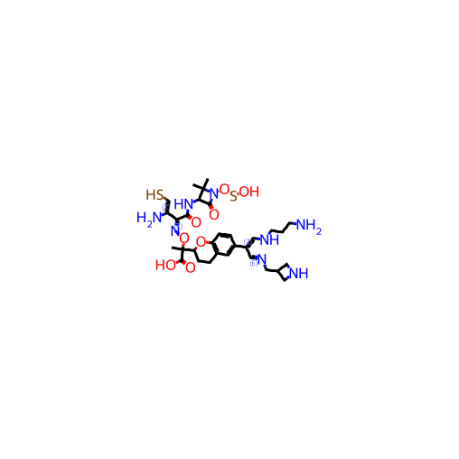 CC(O/N=C(C(=O)NC1C(=O)N(OSO)C1(C)C)/C(N)=C/S)(C(=O)O)C1CCc2cc(C(=C/NCCCN)/C=N/CC3CNC3)ccc2O1